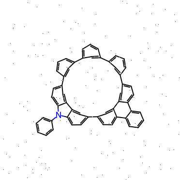 c1ccc(-n2c3ccc4cc3c3cc(ccc32)c2ccc3c5ccccc5c5ccc(cc5c3c2)c2cccc(c2)c2cccc(c2)c2cccc4c2)cc1